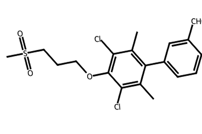 Cc1c(Cl)c(OCCCS(C)(=O)=O)c(Cl)c(C)c1-c1cccc(C=O)c1